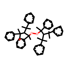 CC(C)(c1ccccc1)C(C(C)(C)c1ccccc1)C(C)(OOC(C)(c1ccccc1)C(C(C)(C)c1ccccc1)C(C)(C)c1ccccc1)c1ccccc1